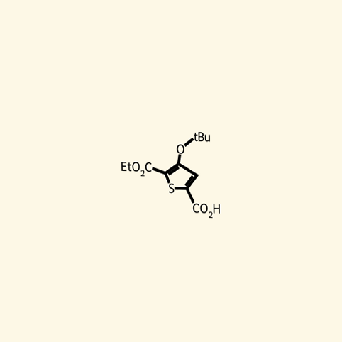 CCOC(=O)c1sc(C(=O)O)cc1OC(C)(C)C